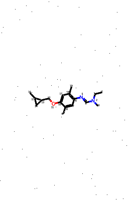 CCN(C)C=Nc1cc(C)c(OCC2CC2C)cc1C